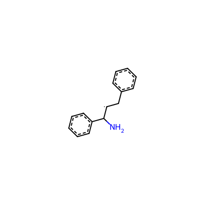 NC([CH]Cc1ccccc1)c1ccccc1